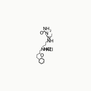 CCN(C=NC(N)=O)NCCCNCC1CCc2ccccc2O1.Cl.Cl